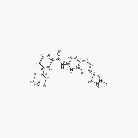 Cn1cc(-c2ccc3cnc(NC(=O)c4cccc(N5CCNCC5)c4)nc3c2)cn1